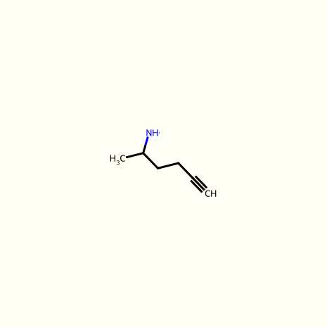 C#CCCC(C)[NH]